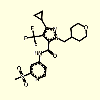 CS(=O)(=O)c1cc(NC(=O)c2c(C(F)(F)F)c(C3CC3)nn2CC2CCOCC2)ccn1